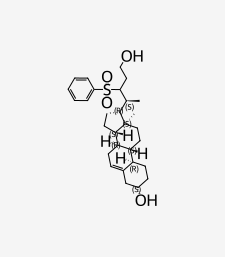 C[C@H](C(CCO)S(=O)(=O)c1ccccc1)[C@H]1CC[C@H]2[C@@H]3CC=C4C[C@@H](O)CC[C@@H]4[C@H]3CC[C@]12C